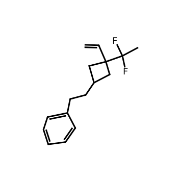 C=CC1(C(C)(F)F)CC(CCc2ccccc2)C1